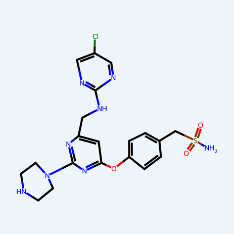 NS(=O)(=O)Cc1ccc(Oc2cc(CNc3ncc(Cl)cn3)nc(N3CCNCC3)n2)cc1